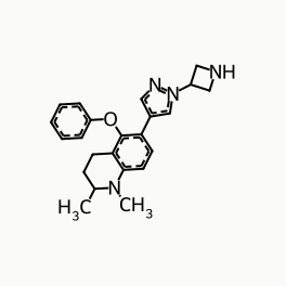 CC1CCc2c(ccc(-c3cnn(C4CNC4)c3)c2Oc2ccccc2)N1C